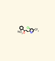 O=C(C=Cc1ncc(C(F)(F)F)cc1Cl)c1ccccc1[N+](=O)[O-]